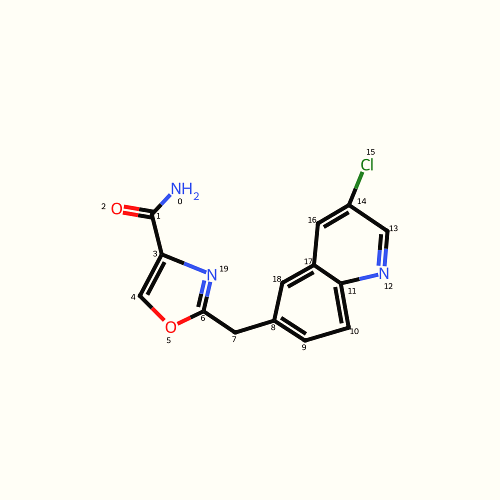 NC(=O)c1coc(Cc2ccc3ncc(Cl)cc3c2)n1